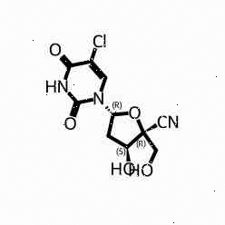 N#C[C@]1(CO)O[C@@H](n2cc(Cl)c(=O)[nH]c2=O)C[C@@H]1O